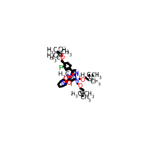 CC(C)(C)OC(=O)N1C2CCC1CC(c1nc3c(-c4ccc(CO[Si](C)(C)C(C)(C)C)c(F)c4)cnn3c(N(COCC[Si](C)(C)C)COCC[Si](C)(C)C)c1I)C2